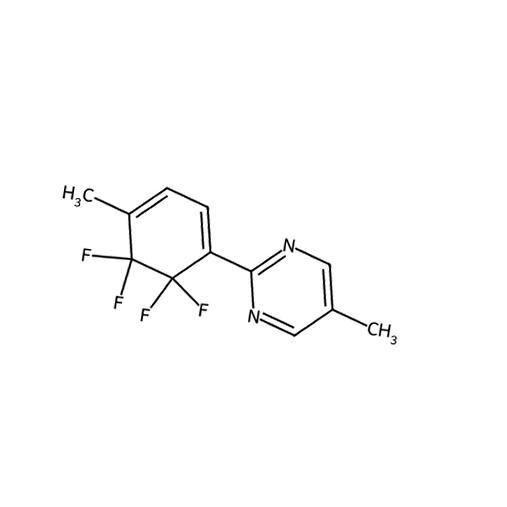 CC1=CC=C(c2ncc(C)cn2)C(F)(F)C1(F)F